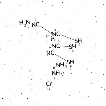 N.N.N.N#CS.N#CS.N#CS.N#CS.[Cr]